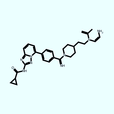 C=C(C)N(/C=C\N)CCC1CCN(C(=N)c2ccc(-c3cccc4nc(NC(=O)C5CC5)nn34)cc2)CC1